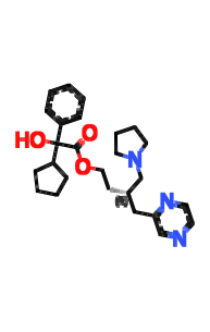 O=C(OCC[C@@H](Cc1cnccn1)CN1CCCC1)C(O)(c1ccccc1)C1CCCC1